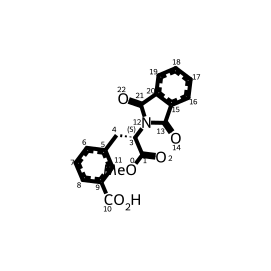 COC(=O)[C@H](Cc1cccc(C(=O)O)c1)N1C(=O)c2ccccc2C1=O